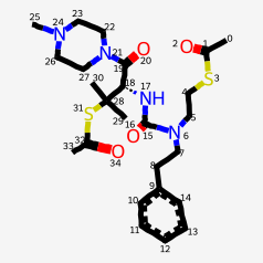 CC(=O)SCCN(CCc1ccccc1)C(=O)N[C@@H](C(=O)N1CCN(C)CC1)C(C)(C)SC(C)=O